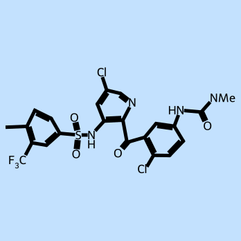 CNC(=O)Nc1ccc(Cl)c(C(=O)c2ncc(Cl)cc2NS(=O)(=O)c2ccc(C)c(C(F)(F)F)c2)c1